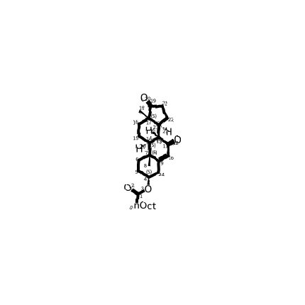 CCCCCCCCC(=O)O[C@H]1CC[C@@]2(C)C(=CC(=O)[C@@H]3[C@@H]2CC[C@]2(C)C(=O)CC[C@@H]32)C1